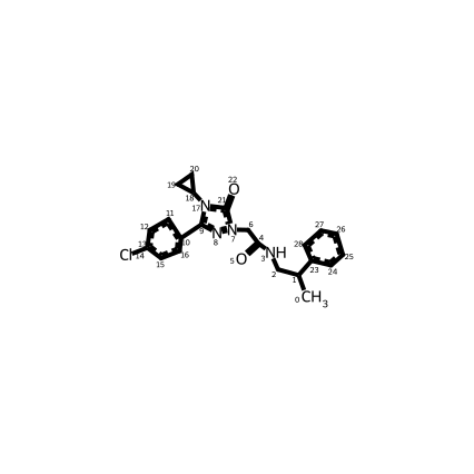 CC(CNC(=O)Cn1nc(-c2ccc(Cl)cc2)n(C2CC2)c1=O)c1ccccc1